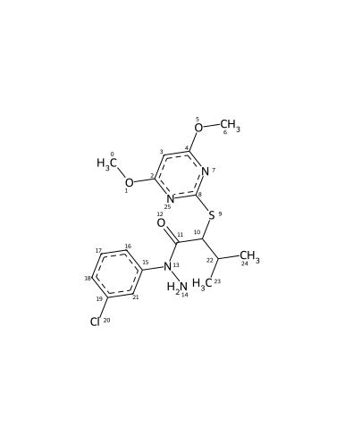 COc1cc(OC)nc(SC(C(=O)N(N)c2cccc(Cl)c2)C(C)C)n1